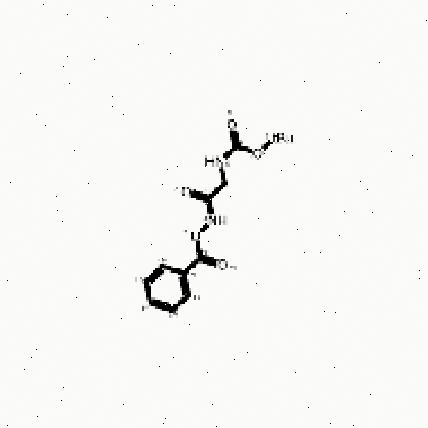 CC(C)(C)OC(=O)NCC(=O)NOC(=O)c1ccccc1